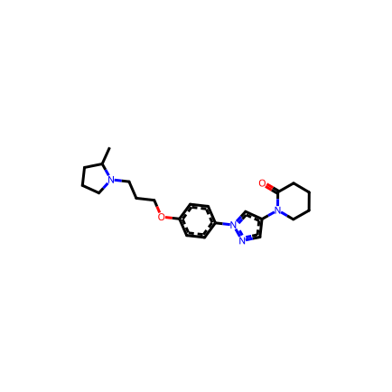 CC1CCCN1CCCOc1ccc(-n2cc(N3CCCCC3=O)cn2)cc1